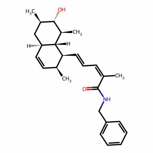 CC(=CC=C[C@@H]1[C@H]2[C@H](C)[C@@H](O)[C@H](C)C[C@@H]2C=C[C@@H]1C)C(=O)NCc1ccccc1